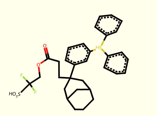 O=C(CCC1(c2cccc([SH](c3ccccc3)c3ccccc3)c2)CC2CCCC(C2)C1)OCC(F)(F)S(=O)(=O)O